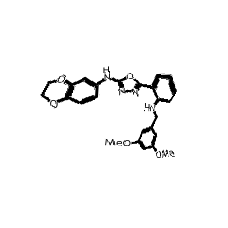 COc1cc(CNc2ccccc2-c2nnc(Nc3ccc4c(c3)OCCO4)o2)cc(OC)c1